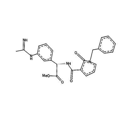 COC(=O)[C@@H](NC(=O)c1cccn(Cc2ccccc2)c1=O)c1cccc(NC(C)=N)c1